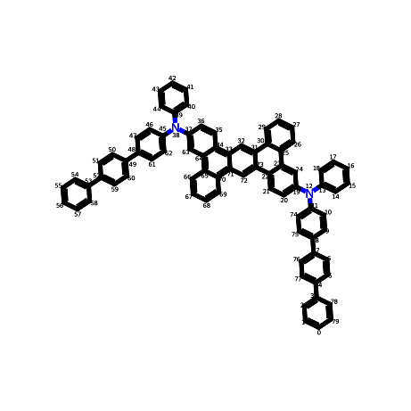 c1ccc(-c2ccc(-c3ccc(N(c4ccccc4)c4ccc5c(c4)c4ccccc4c4cc6c7ccc(N(c8ccccc8)c8ccc(-c9ccc(-c%10ccccc%10)cc9)cc8)cc7c7ccccc7c6cc54)cc3)cc2)cc1